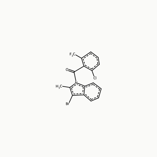 Cc1c(Br)c2ccccc2n1C(=O)c1c(Cl)cccc1C(F)(F)F